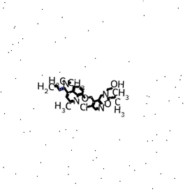 C=C/C=C(/c1cc(C)nc2c(OCc3c(Cl)cncc3CN(CCO)C(=O)C(C)C)cccc12)N(C)C